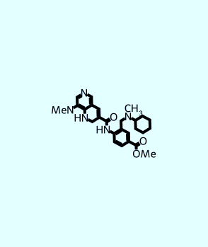 CNc1cncc2c1NCC(C(=O)Nc1ccc(C(=O)OC)cc1CN(C)C1CCCCC1)=C2